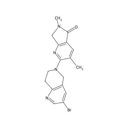 Cc1cc2c(nc1N1CCc3ncc(Br)cc3C1)CN(C)C2=O